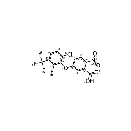 O=C(O)c1cc(Oc2c(Cl)ccc(C(F)(F)F)c2F)ccc1[N+](=O)[O-]